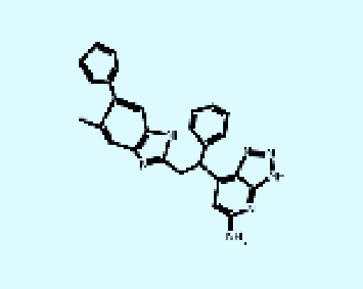 Nc1cc(C(Cc2nc3cc(F)c(-c4ccccc4)cc3[nH]2)c2ccccc2)c2nn[nH]c2n1